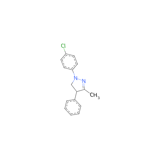 CC1=NN(c2ccc(Cl)cc2)CC1c1ccccc1